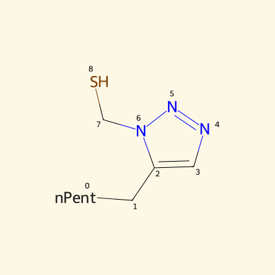 CCCCCCc1cnnn1CS